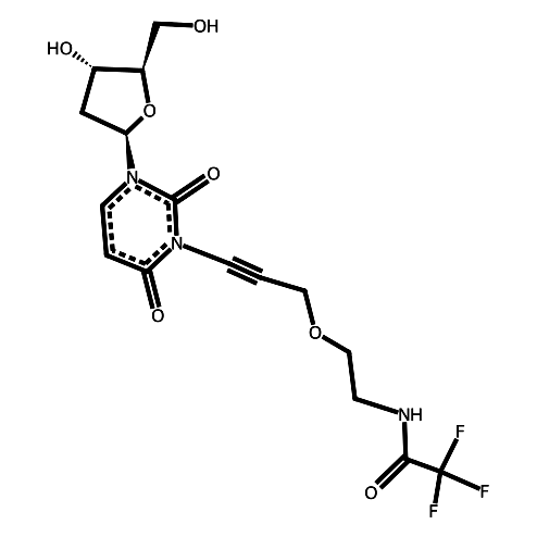 O=C(NCCOCC#Cn1c(=O)ccn([C@H]2C[C@H](O)[C@@H](CO)O2)c1=O)C(F)(F)F